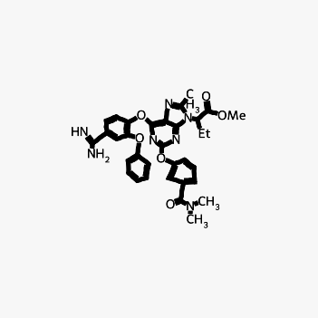 CCC(C(=O)OC)n1c(C)nc2c(Oc3ccc(C(=N)N)cc3Oc3ccccc3)nc(Oc3cccc(C(=O)N(C)C)c3)nc21